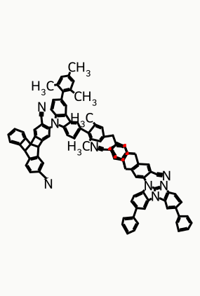 Cc1cc(C)c(-c2ccc3c(c2)c2cc(-c4c(C)cc(Cc5ccc6c(c5)C5c7ccc(C#N)cc7C6c6cc(-n7c8ccc(-c9ccccc9)cc8n8c9cc(-c%10ccccc%10)ccc9nc78)c(C#N)cc65)cc4C)ccc2n3-c2cc3c(cc2C#N)C24c5ccccc5C2c2ccc(C#N)cc2C34)c(C)c1